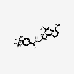 COc1cccc2c1nc(N)n1nc(CNC(=O)c3ccc([C@@](C)(O)C(F)(F)F)cc3)nc21